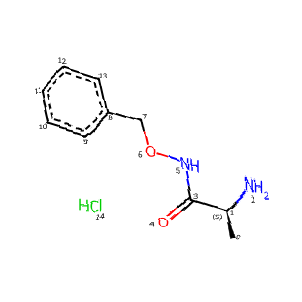 C[C@H](N)C(=O)NOCc1ccccc1.Cl